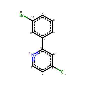 Clc1ccnc(-c2cccc(Br)c2)c1